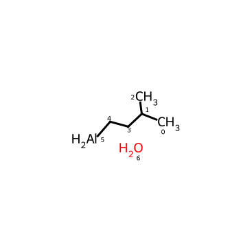 CC(C)C[CH2][AlH2].O